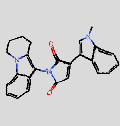 Cn1cc(C2=CC(=O)N(c3c4n(c5ccccc35)CCCC4)C2=O)c2ccccc21